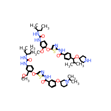 CCC(CC)NC(=O)Nc1ccc(Oc2cnc(NC(=O)c3ccc(C(OC4CCNCC4)C(C)C)cc3)s2)c(OC)c1.CCC(CC)NC(=O)Nc1ccc(Oc2cnc(NC(=O)c3cccc(OC4CCCN(C(C)C)C4)c3)s2)c(COC)c1